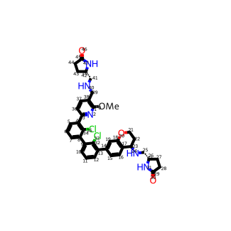 COc1nc(-c2cccc(-c3cccc(-c4ccc5c(c4)OCCC5NC[C@@H]4CCC(=O)N4)c3Cl)c2Cl)ccc1CNC[C@@H]1CCC(=O)N1